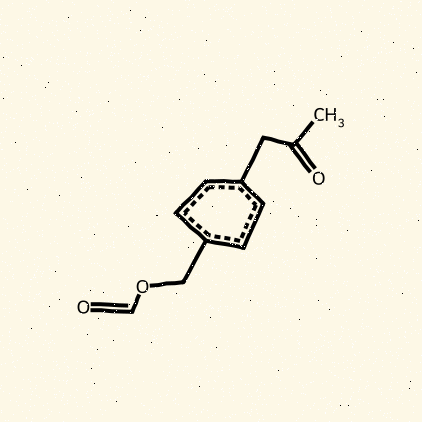 CC(=O)Cc1ccc(COC=O)cc1